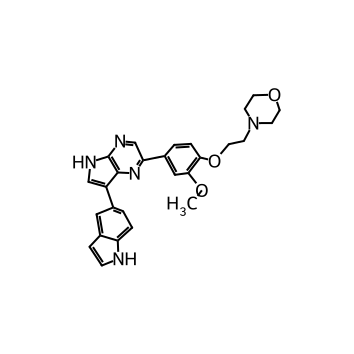 COc1cc(-c2cnc3[nH]cc(-c4ccc5[nH]ccc5c4)c3n2)ccc1OCCN1CCOCC1